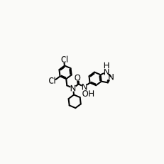 O=C(N(O)c1ccc2[nH]ncc2c1)N(Cc1ccc(Cl)cc1Cl)C1CCCCC1